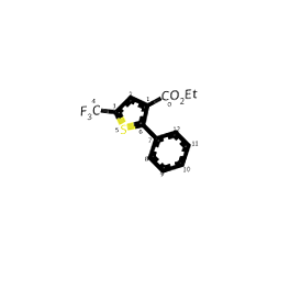 CCOC(=O)c1cc(C(F)(F)F)sc1-c1ccccc1